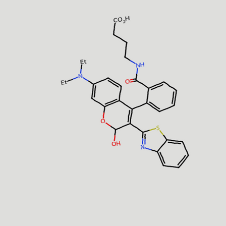 CCN(CC)c1ccc2c(c1)OC(O)C(c1nc3ccccc3s1)=C2c1ccccc1C(=O)NCCCC(=O)O